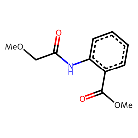 COCC(=O)Nc1ccccc1C(=O)OC